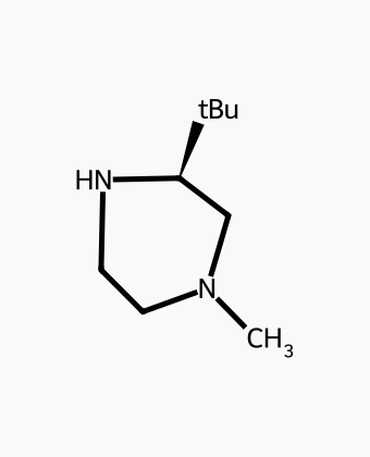 CN1CCN[C@@H](C(C)(C)C)C1